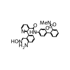 CNS(=O)(=O)c1ccccc1-c1ccc(NC(=O)c2cccnc2-c2cccc(N)c2C=NO)cc1